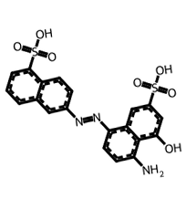 Nc1ccc(N=Nc2ccc3c(S(=O)(=O)O)cccc3c2)c2cc(S(=O)(=O)O)cc(O)c12